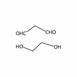 O=CCC=O.OCCO